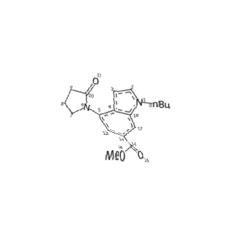 CCCCn1ccc2c(N3CCCC3=O)cc(C(=O)OC)cc21